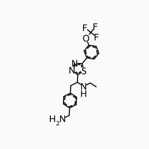 CCNC(Cc1ccc(CN)cc1)c1nnc(-c2cccc(OC(F)(F)F)c2)s1